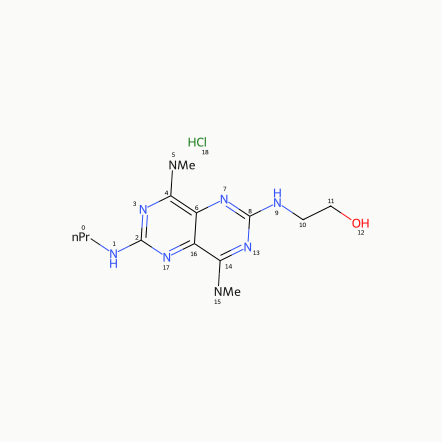 CCCNc1nc(NC)c2nc(NCCO)nc(NC)c2n1.Cl